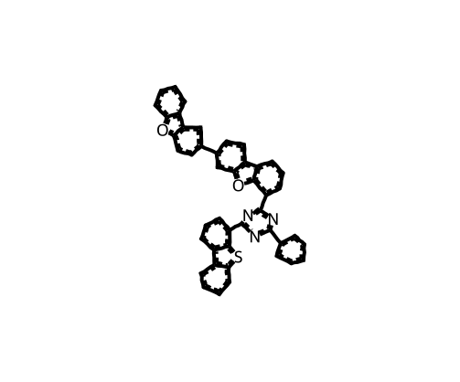 c1ccc(-c2nc(-c3cccc4c3oc3cc(-c5ccc6oc7ccccc7c6c5)ccc34)nc(-c3cccc4c3sc3ccccc34)n2)cc1